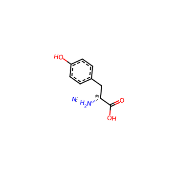 N[C@H](Cc1ccc(O)cc1)C(=O)O.[N]